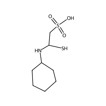 O=S(=O)(O)CC(S)NC1CCCCC1